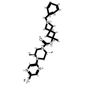 C[C@@H]1CN(c2cnc(C(F)(F)F)cn2)[C@@H](C)CN1C(=O)OC1(C)CC2(CN(Cc3ccccc3)C2)C1